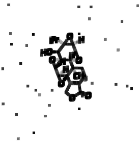 CC(C)[C@]12O[C@H]1[C@@H]1O[C@]13[C@]1(O[C@H]1[C@@H]1O[C@@]14C1=C(CC[C@]34C)C(=O)OC1)[C@H]2O